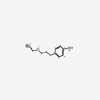 CCC(C)COCCCc1ccc(O)cc1